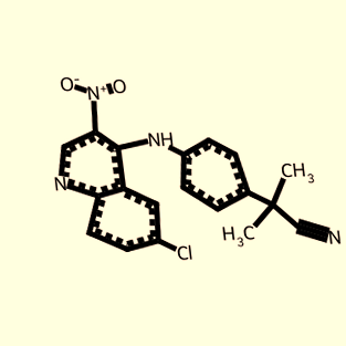 CC(C)(C#N)c1ccc(Nc2c([N+](=O)[O-])cnc3ccc(Cl)cc23)cc1